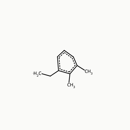 [CH2]Cc1cccc(C)c1C